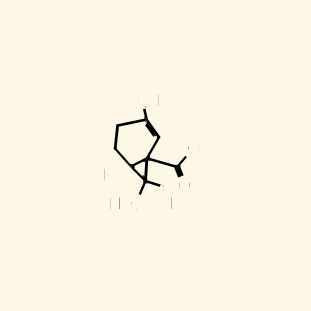 CC1=CC2(C(=O)[O-])C(CC1)C2(C)C.[K+]